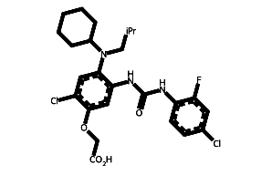 CC(C)CN(c1cc(Cl)c(OCC(=O)O)cc1NC(=O)Nc1ccc(Cl)cc1F)C1CCCCC1